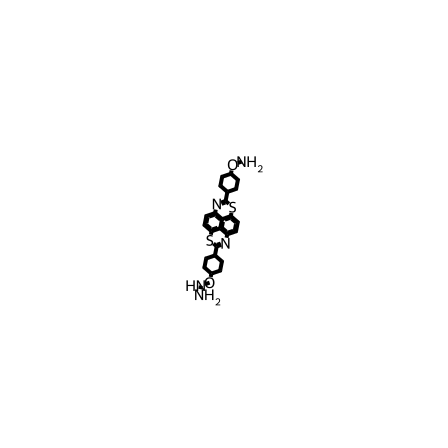 NNOC1CCC(C2=Nc3ccc4c5c(ccc(c35)S2)N=C(C2CCC(ON)CC2)S4)CC1